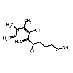 C=CN(C)/C(C)=C(/C)C(=C)N(C)CCCON